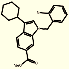 COC(=O)c1ccc2c(C3CCCCC3)cn(Cc3ccccc3Br)c2c1